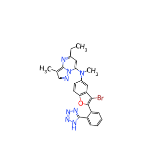 CCc1cc(N(C)c2ccc3oc(-c4ccccc4-c4nnn[nH]4)c(Br)c3c2)n2ncc(C)c2n1